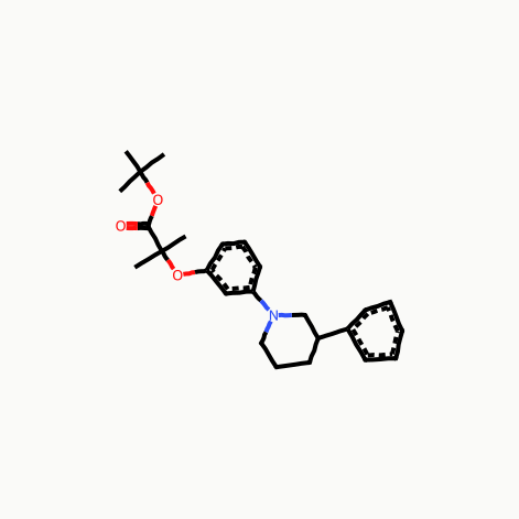 CC(C)(C)OC(=O)C(C)(C)Oc1cccc(N2CCCC(c3ccccc3)C2)c1